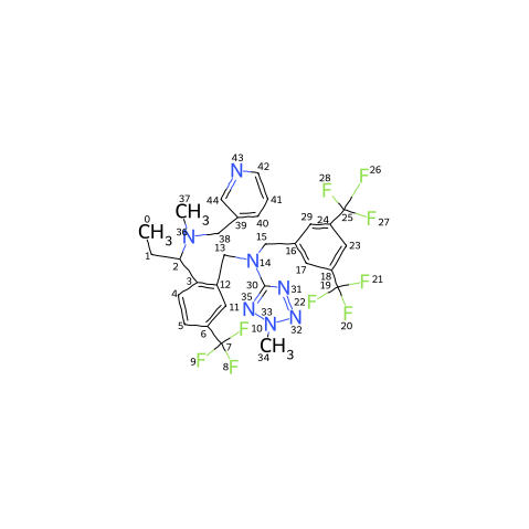 CCC(c1ccc(C(F)(F)F)cc1CN(Cc1cc(C(F)(F)F)cc(C(F)(F)F)c1)c1nnn(C)n1)N(C)Cc1cccnc1